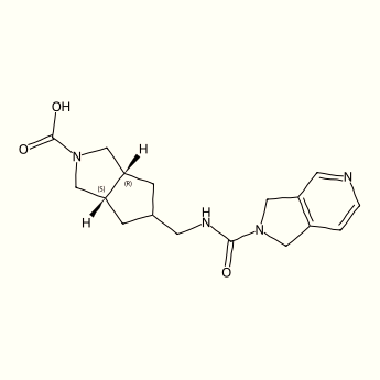 O=C(O)N1C[C@H]2CC(CNC(=O)N3Cc4ccncc4C3)C[C@H]2C1